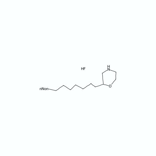 CCCCCCCCCCCCCCCCC1CNCCO1.F